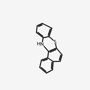 c1ccc2c(c1)Nc1c(ccc3ccccc13)S2